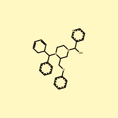 OC(c1cccnc1)N1CCN(C(c2ccccc2)C2C=CC=CC2)C(COc2ccccc2)C1